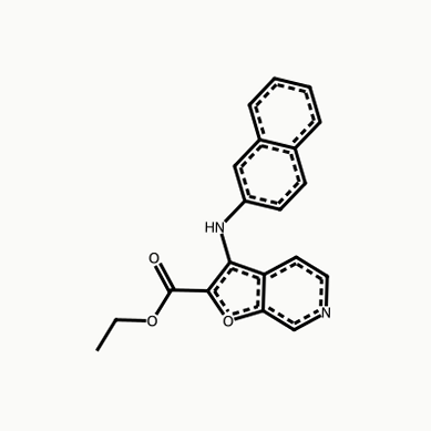 CCOC(=O)c1oc2cnccc2c1Nc1ccc2ccccc2c1